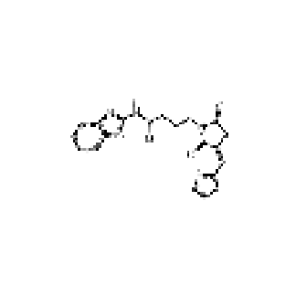 O=C(CCCN1C(=O)S/C(=C/c2cccs2)C1=O)Nc1nc2ccccc2s1